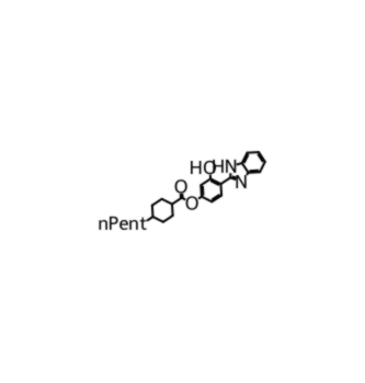 CCCCCC1CCC(C(=O)Oc2ccc(-c3nc4ccccc4[nH]3)c(O)c2)CC1